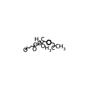 CC(C)Cc1ccc(C(C)C(=O)OCOC(=O)CC[C]=O)cc1